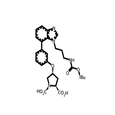 CC(C)(C)OC(=O)NCCCn1cnc2cccc(-c3cccc(O[C@H]4C[C@@H](C(=O)O)N(C(=O)O)C4)c3)c21